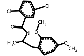 COc1ccc(C[C@@H](C)NC(=O)c2cc(Cl)ccc2Cl)c(OC)c1